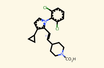 O=C(O)N1CCC(/C=C/c2c(C3CC3)ccn2-c2c(Cl)cccc2Cl)CC1